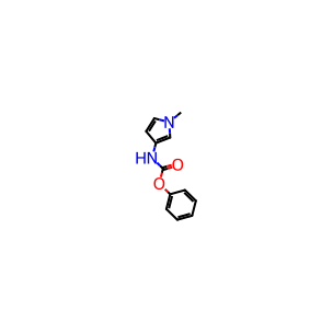 Cn1ccc(NC(=O)Oc2ccccc2)c1